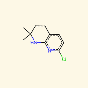 CC1(C)CCc2ccc(Cl)nc2N1